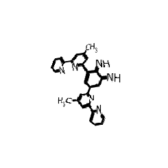 Cc1cc(C2=CC(=N)C(=N)C(c3cc(C)cc(-c4ccccn4)n3)=C2)nc(-c2ccccn2)c1